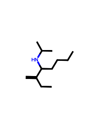 C=C(CC)C(CCCC)NC(C)C